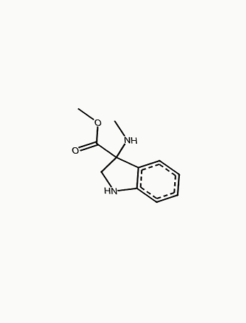 CNC1(C(=O)OC)CNc2ccccc21